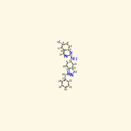 Ic1ccc2nc(Nc3ccc4c(cnn4Cc4ccccc4)c3)ncc2c1